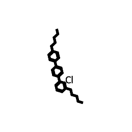 CCCCCc1ccc(-c2ccc(-c3cccc(CCCCC)c3Cl)cc2)cc1